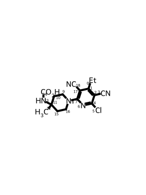 CCc1c(C#N)c(Cl)nc(N2CCC(C)(NC(=O)O)CC2)c1C#N